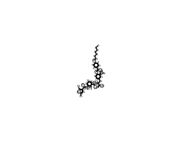 CCCCCCCOc1ccc(C(=O)Oc2ccc(CC(NC(=O)c3cccc(NC(=O)c4cc(C)oc4C)c3)C(C)=O)cc2OC)cc1